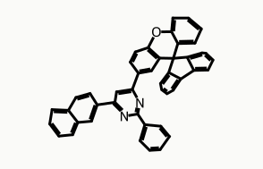 c1ccc(-c2nc(-c3ccc4c(c3)C3(c5ccccc5O4)c4ccccc4-c4ccccc43)cc(-c3ccc4ccccc4c3)n2)cc1